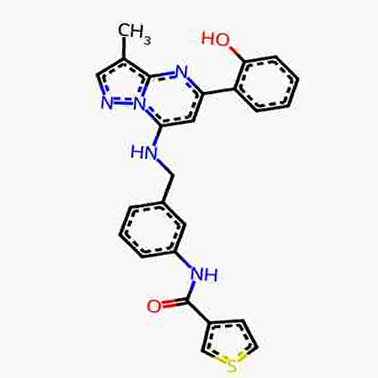 Cc1cnn2c(NCc3cccc(NC(=O)c4ccsc4)c3)cc(-c3ccccc3O)nc12